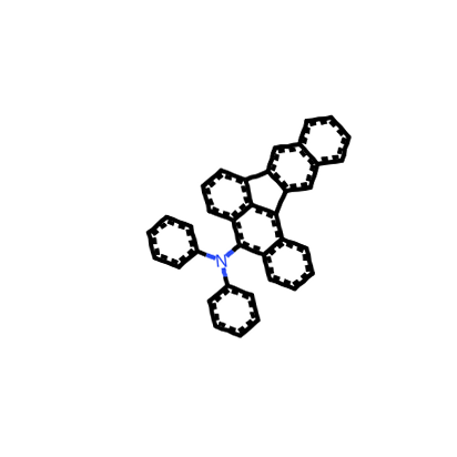 c1ccc(N(c2ccccc2)c2c3ccccc3c3c4c(cccc24)-c2cc4ccccc4cc2-3)cc1